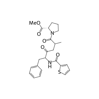 COC(=O)[C@@H]1CCCN1C(=O)C(C)CC(=O)C(Cc1ccccc1)NC(=O)c1cccs1